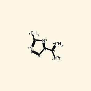 C=C(CCC)c1ccnc(C)n1